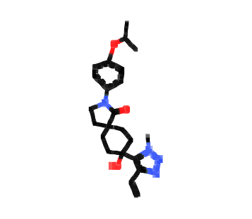 C=Cc1nnn(C)c1C1(O)CCC2(CCN(c3ccc(OC(C)C)cc3)C2=O)CC1